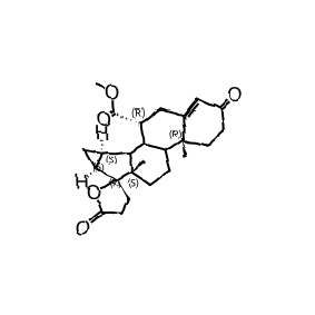 COC(=O)[C@@H]1CC2=CC(=O)CC[C@]2(C)C2CC[C@@]3(C)C(C21)[C@@H]1C[C@@H]1[C@]31CCC(=O)O1